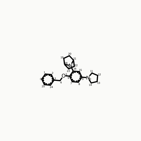 c1ccc(COc2ccc(N3CCCC3)cc2N2C3CCC2CC3)cc1